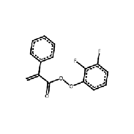 C=C(C(=O)OOc1cccc(F)c1F)c1ccccc1